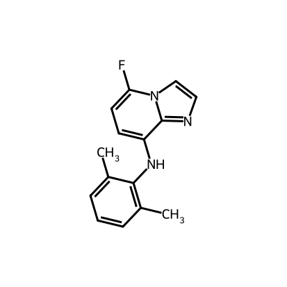 Cc1cccc(C)c1Nc1ccc(F)n2ccnc12